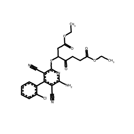 CCOC(=O)CCC(=O)C(CC(=O)OCC)Sc1nc(N)c(C#N)c(-c2ccccc2Cl)c1C#N